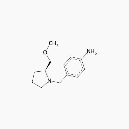 COC[C@@H]1CCCN1Cc1ccc(N)cc1